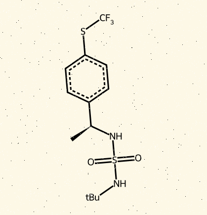 C[C@H](NS(=O)(=O)NC(C)(C)C)c1ccc(SC(F)(F)F)cc1